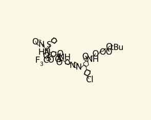 CC(C)(C)OC(=O)COCCOCCNC(=O)C1(C)CCC(c2ccc(Cl)cc2)=C(CN2CCN(c3ccc(C(=O)NS(=O)(=O)c4ccc(N[C@H](CCN5CCOCC5)CSc5ccccc5)c(S(=O)(=O)C(F)(F)F)c4)cc3)CC2)C1